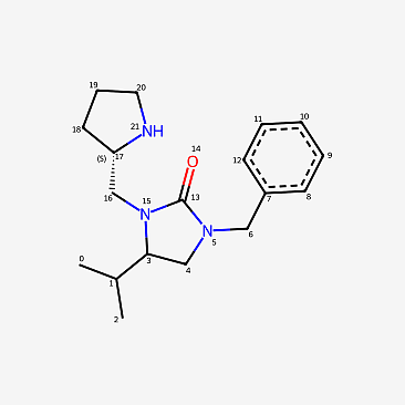 CC(C)C1CN(Cc2ccccc2)C(=O)N1C[C@@H]1CCCN1